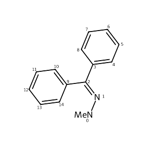 CNN=C(c1ccccc1)c1ccccc1